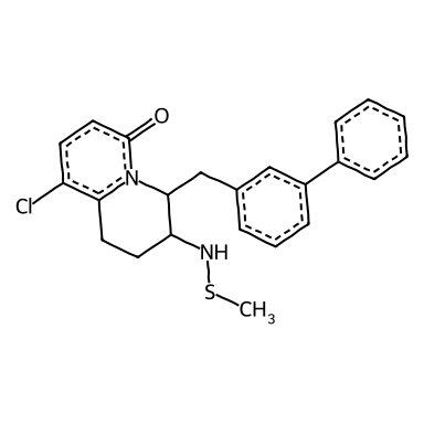 CSNC1CCc2c(Cl)ccc(=O)n2C1Cc1cccc(-c2ccccc2)c1